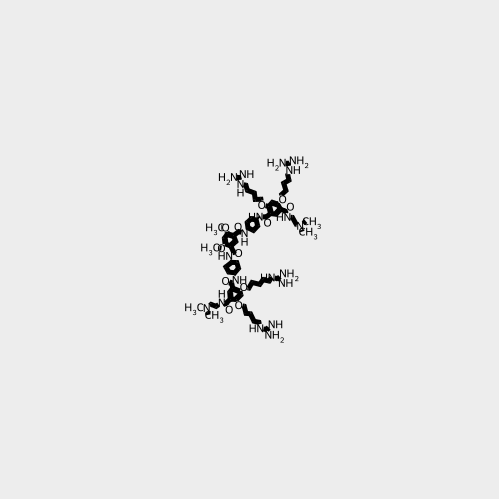 COc1cc(OC)c(C(=O)N[C@H]2CC[C@H](NC(=O)c3cc(C(=O)NCCN(C)C)c(OCCCCCNC(N)N)cc3OCCCCCNC(=N)N)CC2)cc1C(=O)N[C@H]1CC[C@@H](NC(=O)c2cc(C(=O)NCCN(C)C)c(OCCCCCNC(=N)N)cc2OCCCCCNC(=N)N)CC1